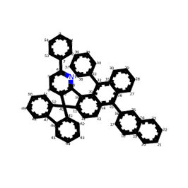 c1ccc(-c2ccc3c(n2)-c2c(ccc4c(-c5ccc6ccccc6c5)c5ccccc5c(-c5ccccc5)c24)C32c3ccccc3-c3ccccc32)cc1